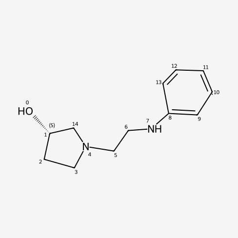 O[C@H]1CCN(CCNc2c[c]ccc2)C1